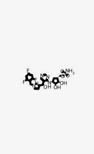 NS(=O)(=O)OC[C@H]1C[C@@H](Nc2ncncc2C(=O)c2ccn(Cc3c(F)cc(F)cc3F)n2)[C@H](O)[C@@H]1O